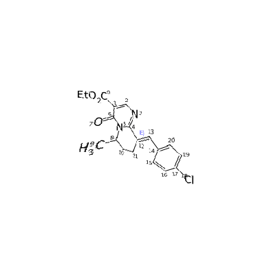 CCOC(=O)c1cnc2n(c1=O)C(C)CC/C2=C\c1ccc(Cl)cc1